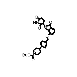 CC(C)COC(=O)N1CCC(c2ccc(COc3cccc4c3CN(C3CCC(=O)NC3=O)C4=O)cc2)CC1